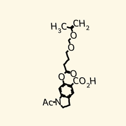 C=C(C)OCOCCCC(=O)Oc1cc2c(cc1C(=O)O)CCN2C(C)=O